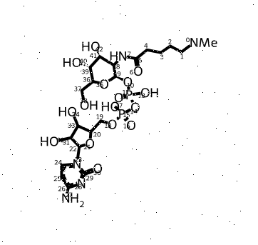 CNCCCCC(=O)NC1[C@@H](OP(=O)(O)OP(=O)(O)OCC2OC(n3ccc(N)nc3=O)C(O)C2O)OC(CO)[C@H](O)[C@@H]1O